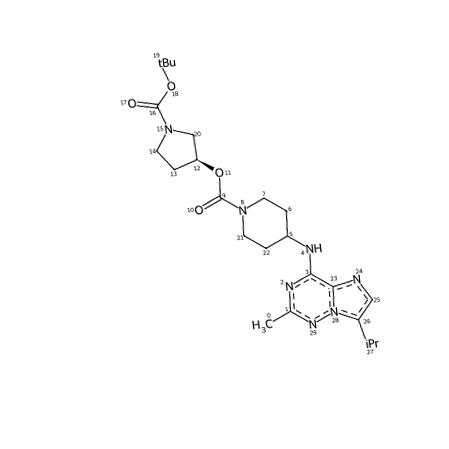 Cc1nc(NC2CCN(C(=O)O[C@H]3CCN(C(=O)OC(C)(C)C)C3)CC2)c2ncc(C(C)C)n2n1